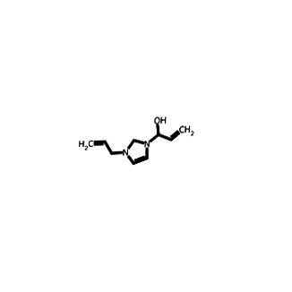 C=CCN1C=CN(C(O)C=C)C1